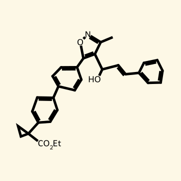 CCOC(=O)C1(c2ccc(-c3ccc(-c4onc(C)c4C(O)C=Cc4ccccc4)cc3)cc2)CC1